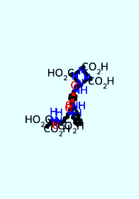 O=C(O)CC[C@H](NC(=O)NC(CCCCNC(=O)[C@H](Cc1ccc2ccccc2c1)NC(=O)C12CCC(CNC(=O)CN3CCN(CC(=O)O)CCN(CC(=O)O)CCN(CC(=O)O)CC3)(CC1)CC2)C(=O)O)C(=O)O